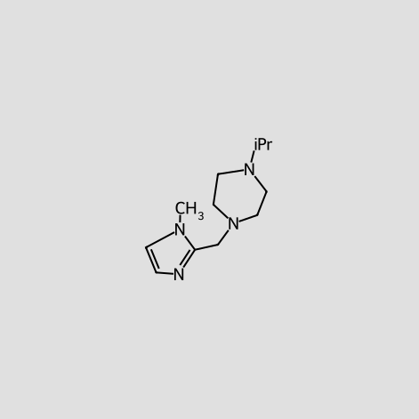 CC(C)N1CCN(Cc2nccn2C)CC1